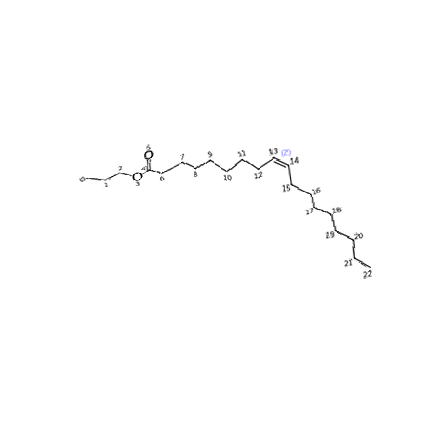 C[CH]COC(=O)CCCCCCC/C=C\CCCCCCCC